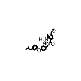 COCc1ccc(C(=O)NCc2ccc(Oc3cccc(CC(C)C)c3)cc2)c(N)n1